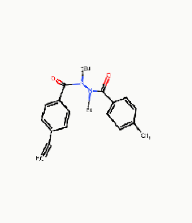 C#Cc1ccc(C(=O)N(N(CC)C(=O)c2ccc(C)cc2)C(C)(C)C)cc1